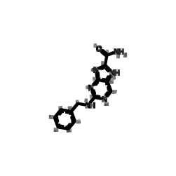 NC(=O)c1nc2nc(NCc3ccccc3)ncc2[nH]1